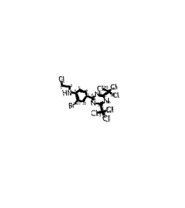 ClCCNc1ccc(-c2nc(C(Cl)(Cl)Cl)nc(C(Cl)(Cl)Cl)n2)cc1Br